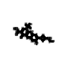 CCNC1CN(c2cc3nc4c(cc3cc2F)c(=O)c(C(=O)O)cn4C(C)(C)C)C1